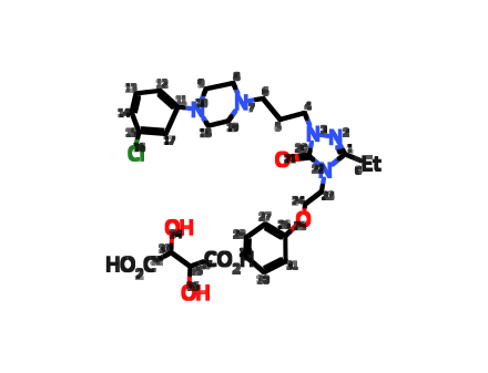 CCc1nn(CCCN2CCN(c3cccc(Cl)c3)CC2)c(=O)n1CCOc1ccccc1.O=C(O)C(O)C(O)C(=O)O